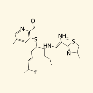 CCCC(N/C=C(\N)C1=NC(C)CS1)C(C/C=C/C(C)F)Sc1cc(C)cnc1C=O